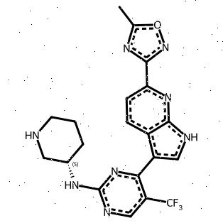 Cc1nc(-c2ccc3c(-c4nc(N[C@H]5CCCNC5)ncc4C(F)(F)F)c[nH]c3n2)no1